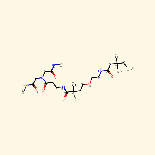 CC(C)NC(=O)CN(CC(=O)NC(C)C)C(=O)CCNC(=O)C(C)(C)CCOCCNC(=O)CC(C)(C)CC(=O)O